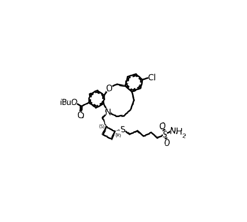 CC(C)COC(=O)c1ccc2c(c1)N(C[C@@H]1CC[C@H]1SCCCCCS(N)(=O)=O)CCCCc1cc(Cl)ccc1CO2